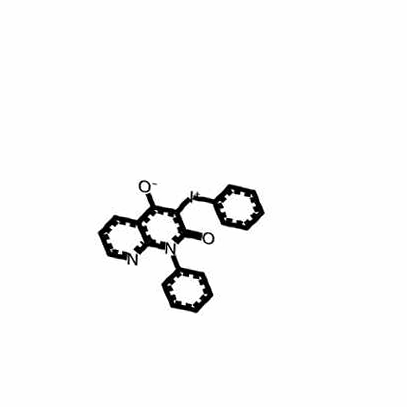 O=c1c([I+]c2ccccc2)c([O-])c2cccnc2n1-c1ccccc1